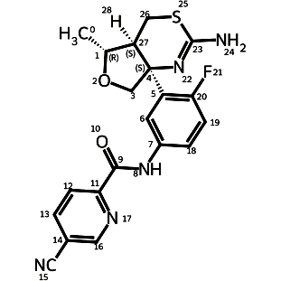 C[C@H]1OC[C@]2(c3cc(NC(=O)c4ccc(C#N)cn4)ccc3F)N=C(N)SC[C@H]12